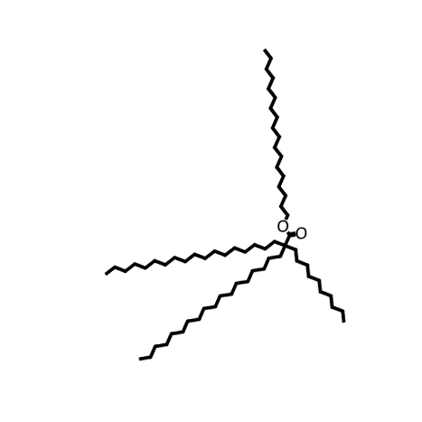 CCCCCCCCCCCCCCCCCCOC(=O)C(CCCCCCCCCC)(CCCCCCCCCCCCCCCCCC)CCCCCCCCCCCCCCCCCC